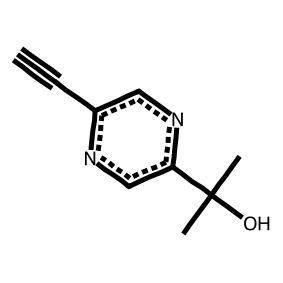 C#Cc1cnc(C(C)(C)O)cn1